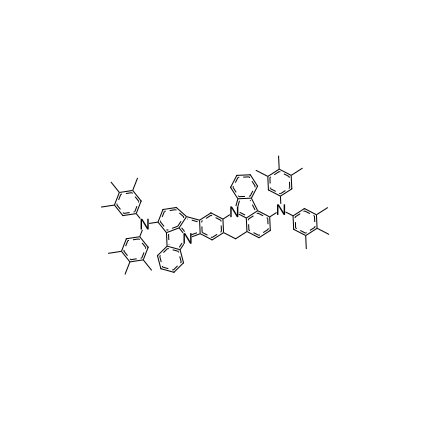 Cc1cc(N(c2cc(C)c(C)c(C)c2)c2ccc3c4c2c2ccccc2n4-c2cc4c5ccc(N(c6cc(C)c(C)c(C)c6)c6cc(C)c(C)c(C)c6)c6c7ccccc7n(c4cc2C3)c56)cc(C)c1C